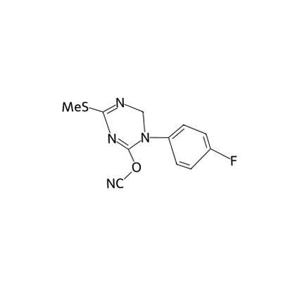 CSC1=NCN(c2ccc(F)cc2)C(OC#N)=N1